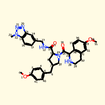 COc1ccc(CC2CC(C(=O)NCc3ccc4c(c3)nnn4C)N(C(=O)C3NCCc4cc(OC)ccc43)C2)cc1